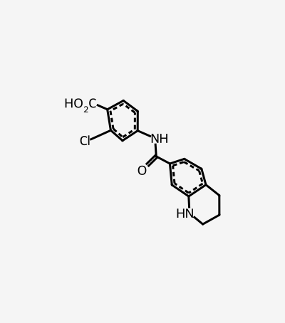 O=C(Nc1ccc(C(=O)O)c(Cl)c1)c1ccc2c(c1)NCCC2